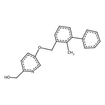 Cc1c(COc2ccc(CO)nc2)cccc1-c1ccccc1